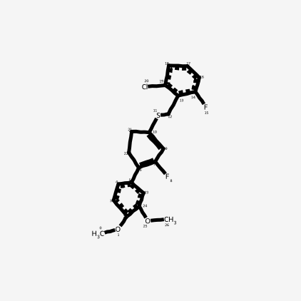 COc1ccc(C2=C(F)C=C(SCc3c(F)cccc3Cl)[CH]C2)cc1OC